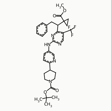 COC(=O)C1(C(Cc2ccccc2)c2nc(Nc3ccc(C4CCN(C(=O)OC(C)(C)C)CC4)nc3)ncc2C(F)(F)F)CC1